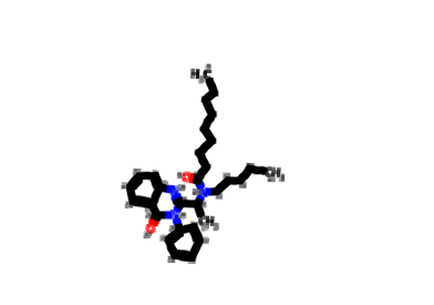 CCCCCCCCC(=O)N(CCCCC)C(C)c1nc2ccccc2c(=O)n1-c1ccccc1